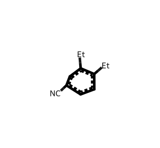 CCc1ccc(C#N)cc1CC